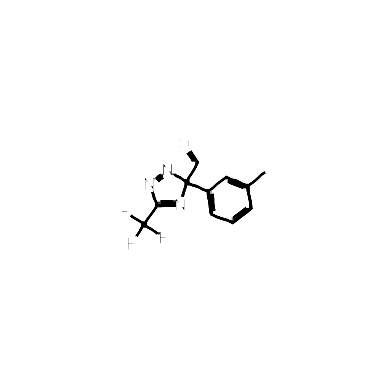 Cc1cccc(C2(C=O)N=NC(C(F)(F)F)=N2)c1